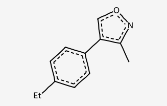 CCc1ccc(-c2conc2C)cc1